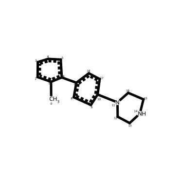 Cc1ccccc1-c1ccc(N2CCNCC2)cc1